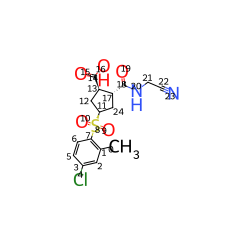 Cc1cc(Cl)ccc1S(=O)(=O)[C@H]1C[C@@H](C(=O)O)[C@H](C(=O)NCC#N)C1